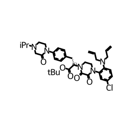 C=CCN(CC=C)c1ccc(Cl)cc1N1CCN([C@@H](Cc2ccc(N3CCN(C(C)C)CC3=O)cc2)C(=O)OC(C)(C)C)C(=O)C1=O